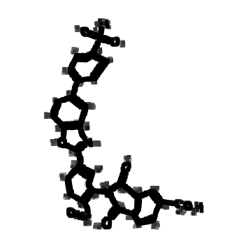 CCS(=O)(=O)c1ccc(-c2ccc3oc(-c4ccc(OC)c(N5C(=O)c6ccc(C(=O)O)cc6C5=O)c4)nc3c2)cc1